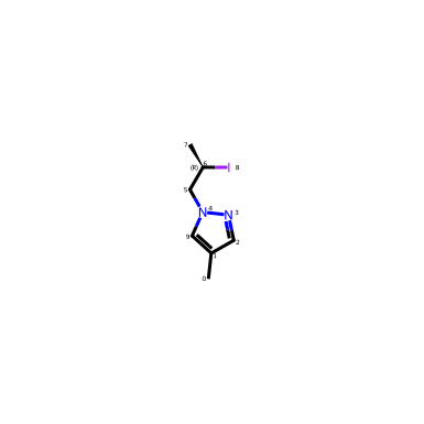 Cc1cnn(C[C@@H](C)I)c1